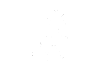 O=C(c1ccncc1)c1ccc(Cl)c2ccccc12